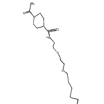 CC(C)(C)C(=O)N1CCC(C(=O)NCCOCCOCCCCCCCl)CC1